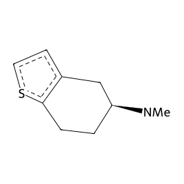 CN[C@H]1CCc2sccc2C1